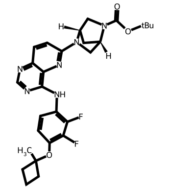 CC(C)(C)OC(=O)N1C[C@@H]2C[C@H]1CN2c1ccc2ncnc(Nc3ccc(OC4(C)CCC4)c(F)c3F)c2n1